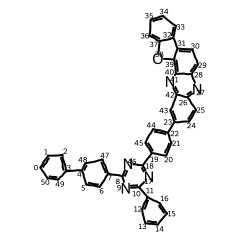 c1ccc(-c2ccc(-c3nc(-c4ccccc4)nc(-c4ccc(-c5ccc6nc7ccc8c9ccccc9oc8c7nc6c5)cc4)n3)cc2)cc1